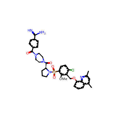 COc1c(S(=O)(=O)N2CCC[C@H]2C(=O)N2CCN(C(=O)c3ccc(C(=N)N)cc3)CC2)ccc(Cl)c1COc1cccc2c(C)cc(C)nc12